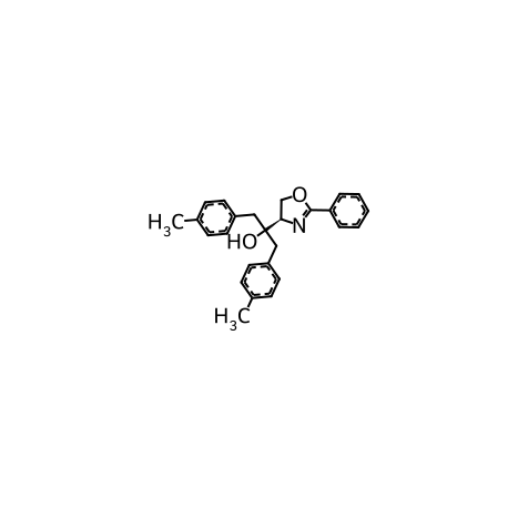 Cc1ccc(CC(O)(Cc2ccc(C)cc2)[C@H]2COC(c3ccccc3)=N2)cc1